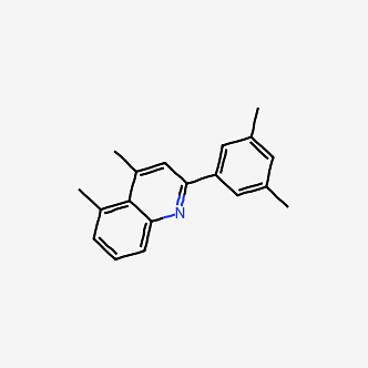 Cc1cc(C)cc(-c2cc(C)c3c(C)cccc3n2)c1